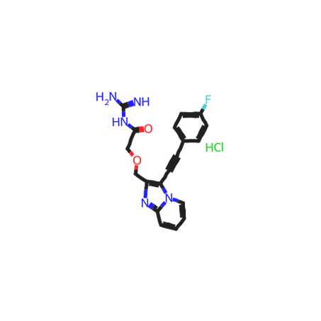 Cl.N=C(N)NC(=O)COCc1nc2ccccn2c1C#Cc1ccc(F)cc1